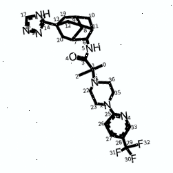 CC(C)(C(=O)NC1C2CC3CC1CC(c1nnc[nH]1)(C3)C2)N1CCN(c2ccc(C(F)(F)F)cn2)CC1